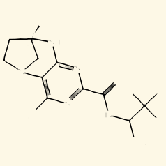 Cc1nc(C(=O)NC(C)C(F)(F)F)nc2c1N1CC[C@@H](C1)N2